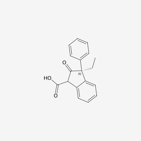 CC[C@@]1(c2ccccc2)C(=O)C(C(=O)O)c2ccccc21